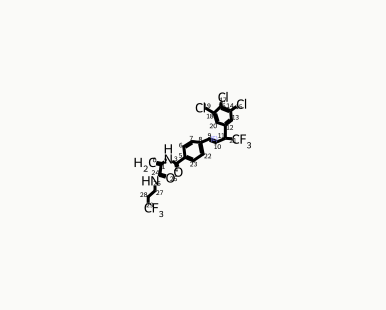 C=C(NC(=O)c1ccc(/C=C/C(c2cc(Cl)c(Cl)c(Cl)c2)C(F)(F)F)cc1)C(=O)NCCC(F)(F)F